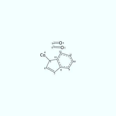 [C]=O.[C]=O.[Co][CH]1C=Cc2ccccc21